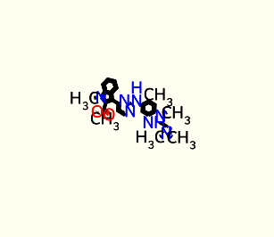 COC(=O)c1c(-c2ccnc(Nc3cc(N)c(N(C)CCN(C)C)cc3C)n2)c2ccccc2n1C